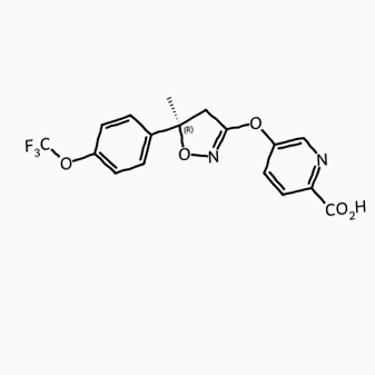 C[C@]1(c2ccc(OC(F)(F)F)cc2)CC(Oc2ccc(C(=O)O)nc2)=NO1